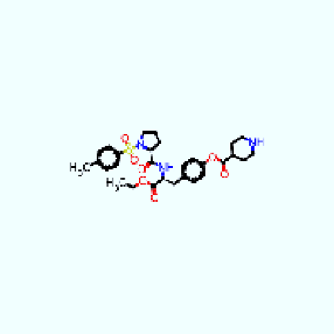 CCOC(=O)[C@H](Cc1ccc(OC(=O)C2CCNCC2)cc1)NC(=O)[C@@H]1CCCN1S(=O)(=O)c1ccc(C)cc1